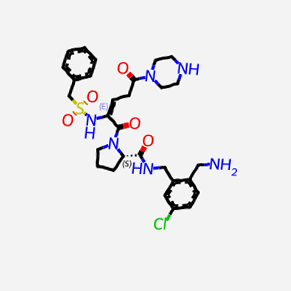 NCc1ccc(Cl)cc1CNC(=O)[C@@H]1CCCN1C(=O)/C(=C\CC(=O)N1CCNCC1)NS(=O)(=O)Cc1ccccc1